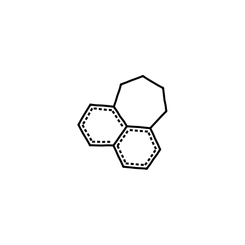 c1cc2c3c(cccc3c1)CCCC2